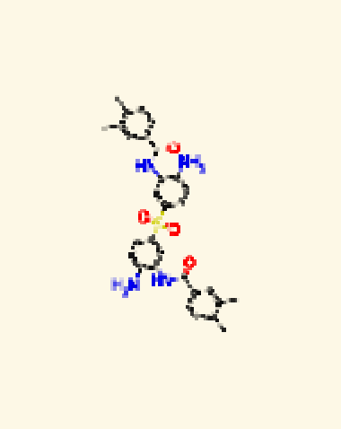 Cc1ccc(C(=O)Nc2cc(S(=O)(=O)c3ccc(N)c(NC(=O)c4ccc(C)c(C)c4)c3)ccc2N)cc1C